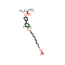 C=C(C)C(=O)Oc1ccc(-c2cc(F)c(OCCCCCCCCCCCOCC3CO3)c(F)c2)cc1